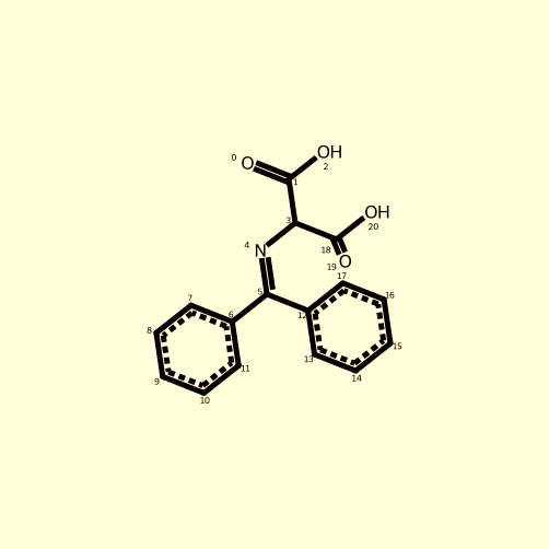 O=C(O)C(N=C(c1ccccc1)c1ccccc1)C(=O)O